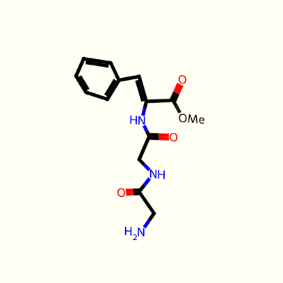 COC(=O)C(=Cc1ccccc1)NC(=O)CNC(=O)CN